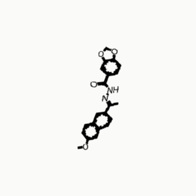 COc1ccc2cc(C(C)=NNC(=O)c3ccc4c(c3)OCO4)ccc2c1